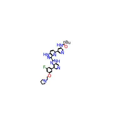 CCCCC(=O)Nc1cncc(-c2ccc3[nH]nc(-c4nc5c(-c6cc(F)cc(OCCN7CCCC7)c6)cncc5[nH]4)c3n2)c1